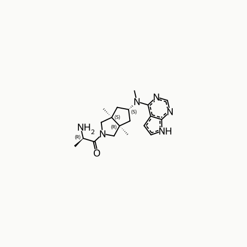 C[C@@H](N)C(=O)N1C[C@]2(C)C[C@@H](N(C)c3ncnc4[nH]ccc34)C[C@]2(C)C1